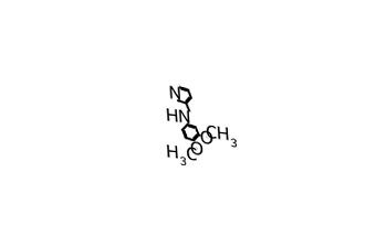 COc1ccc(NCc2cccnc2)cc1OC